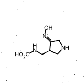 O=C(O)NC[C@@H]1CNCC1=NO